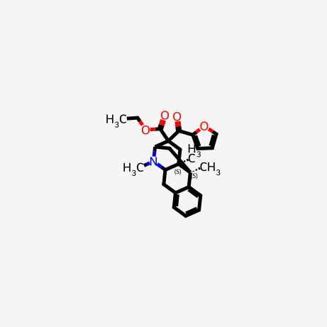 CCOC(=O)C1(C(=O)c2ccco2)C[C@]2(C)C3Cc4ccccc4[C@]2(C)CC1N3C